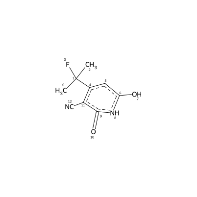 CC(C)(F)c1cc(O)[nH]c(=O)c1C#N